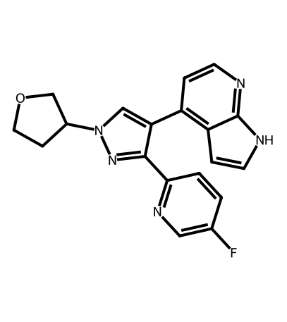 Fc1ccc(-c2nn(C3CCOC3)cc2-c2ccnc3[nH]ccc23)nc1